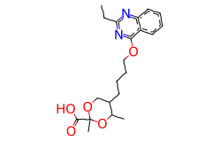 CCc1nc(OCCCCC2COC(C)(C(=O)O)OC2C)c2ccccc2n1